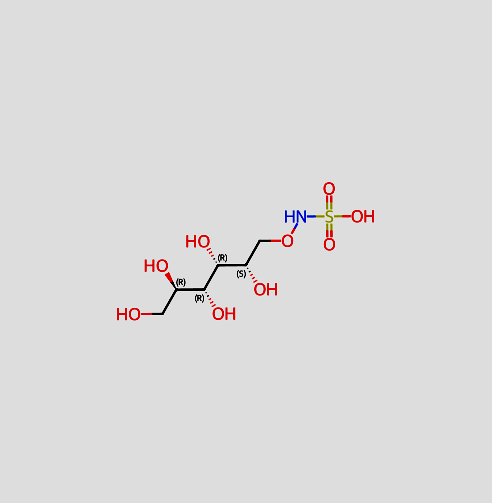 O=S(=O)(O)NOC[C@H](O)[C@@H](O)[C@H](O)[C@H](O)CO